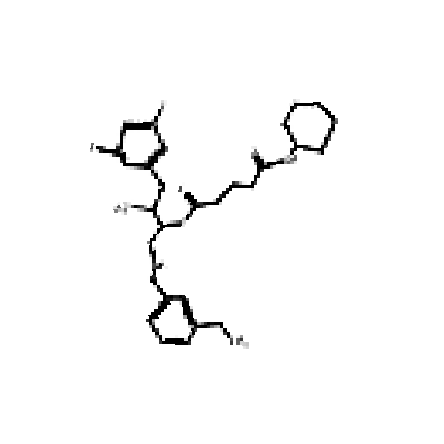 CCc1cccc(CNCC(OC(=O)CCCC(=O)NC2CCCCC2)C(N)Cc2cc(F)cc(F)c2)c1